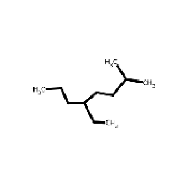 [CH2]CCC(CC)CCC(C)C